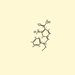 CCN(C=C1C=CC(C(=O)O)=C(N)C1)c1ccccc1